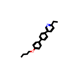 CCCCOc1ccc(-c2ccc(-c3ccc(CC)nc3)cc2)cc1